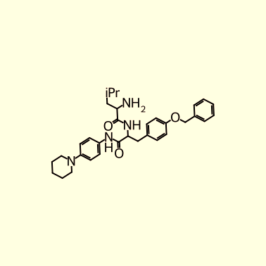 CC(C)CC(N)C(=O)NC(Cc1ccc(OCc2ccccc2)cc1)C(=O)Nc1ccc(N2CCCCC2)cc1